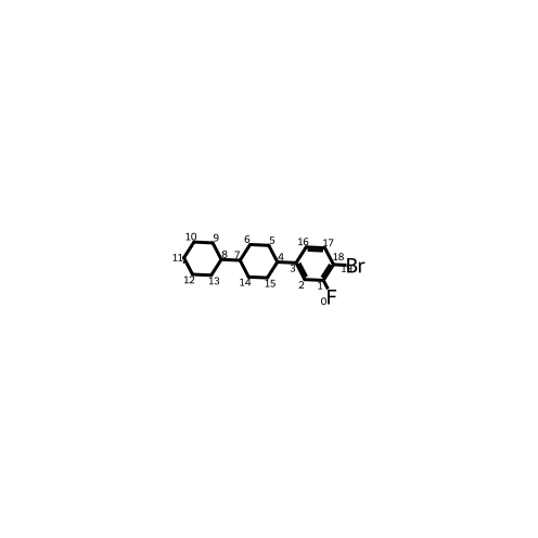 Fc1cc(C2CCC(C3CC[CH]CC3)CC2)ccc1Br